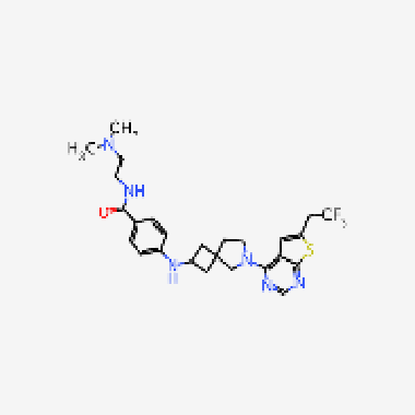 CN(C)CCNC(=O)c1ccc(NC2CC3(CCN(c4ncnc5sc(CC(F)(F)F)cc45)C3)C2)cc1